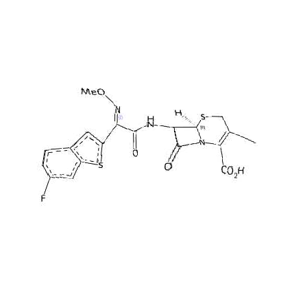 CO/N=C(/C(=O)NC1C(=O)N2C(C(=O)O)=C(C)CS[C@H]12)c1cc2ccc(F)cc2s1